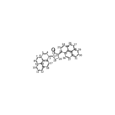 O=C1C(=C2C=Cc3ccc4cccc5c4c3C2C=C5)CCC1=C1C=Cc2ccc3cccc4c3c2C1C=C4